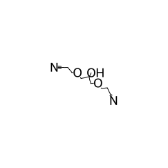 N#CCCOCC(O)COCCC#N